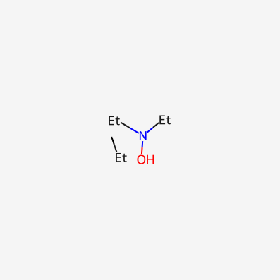 CCC.CCN(O)CC